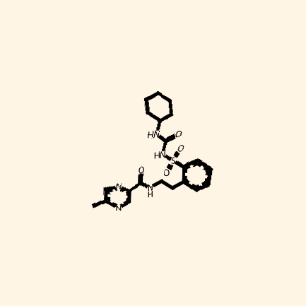 Cc1cnc(C(=O)NCCc2ccccc2S(=O)(=O)NC(=O)NC2CCCCC2)cn1